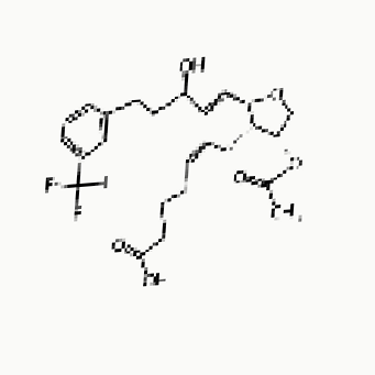 CC(=O)O[C@H]1CO[C@H](/C=C/[C@H](O)CCc2cccc(C(F)(F)F)c2)[C@H]1C/C=C\CCCC(=O)O